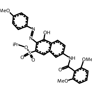 COc1ccc(N=Nc2c(S(=O)(=O)OC(C)C)cc3cc(NC(=O)c4c(OC)cccc4OC)ccc3c2O)cc1